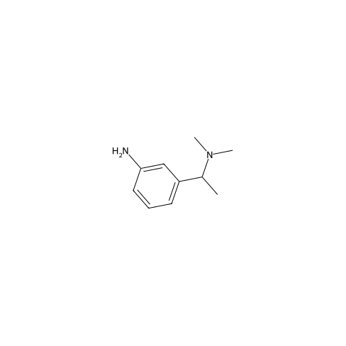 CC(c1cccc(N)c1)N(C)C